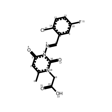 Cc1cc(=O)n(N=Cc2cc(F)ccc2Cl)c(=O)n1CC(=O)O